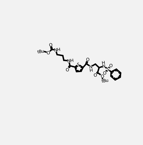 CC(C)(C)OC(=O)NCCCNC(=O)c1ccc(C(=O)NCC(NS(=O)(=O)c2ccccc2)C(=O)OC(C)(C)C)s1